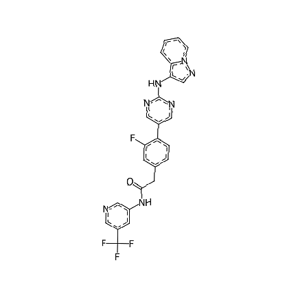 O=C(Cc1ccc(-c2cnc(Nc3cnn4ccccc34)nc2)c(F)c1)Nc1cncc(C(F)(F)F)c1